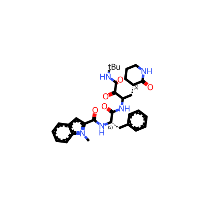 Cn1c(C(=O)N[C@@H](Cc2ccccc2)C(=O)NC(C[C@@H]2CCCNC2=O)C(=O)C(=O)NC(C)(C)C)cc2ccccc21